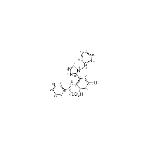 O=C(O)C(Oc1ccc(Cl)cc1-c1nncn1Cc1ccccc1)c1ccccc1